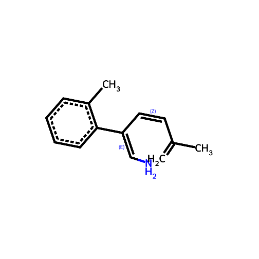 C=C(C)/C=C\C(=C/N)c1ccccc1C